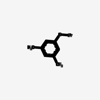 Cc1cc(C)cc(OC(C)C)c1